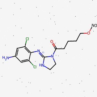 Nc1cc(Cl)c(/N=C2\NCCN2C(=O)CCCCO[N+](=O)[O-])c(Cl)c1